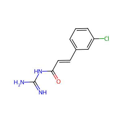 N=C(N)NC(=O)/C=C/c1cccc(Cl)c1